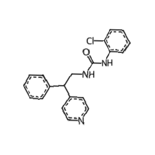 O=C(NCC(c1ccccc1)c1ccncc1)Nc1ccccc1Cl